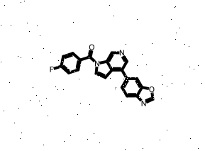 O=C(c1ccc(F)cc1)n1ccc2c(-c3ccc4ncoc4c3)cncc21